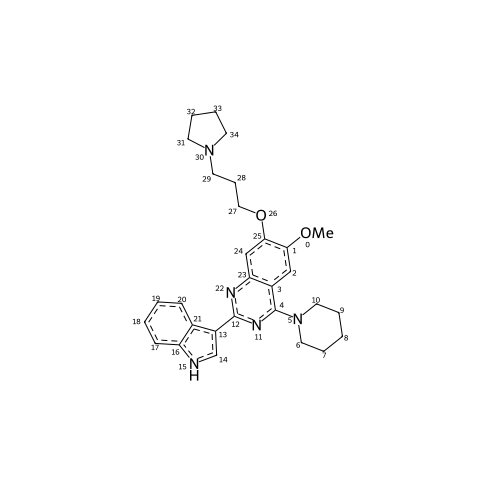 COc1cc2c(N3CCCCC3)nc(-c3c[nH]c4ccccc34)nc2cc1OCCCN1CCCC1